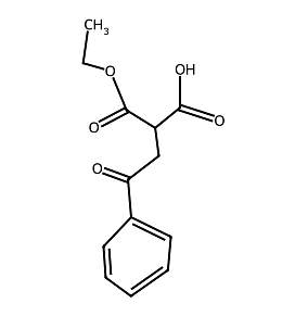 CCOC(=O)C(CC(=O)c1ccccc1)C(=O)O